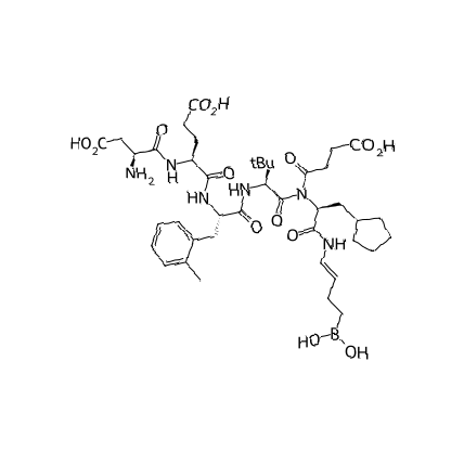 Cc1ccccc1C[C@H](NC(=O)[C@H](CCC(=O)O)NC(=O)[C@@H](N)CC(=O)O)C(=O)N[C@H](C(=O)N(C(=O)CCC(=O)O)[C@@H](CC1CCCC1)C(=O)NC=CCCB(O)O)C(C)(C)C